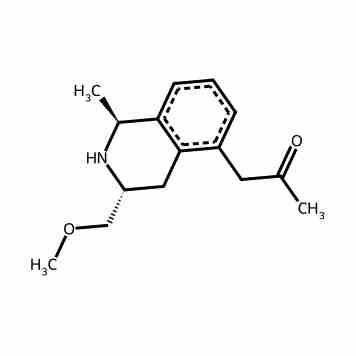 COC[C@H]1Cc2c(CC(C)=O)cccc2[C@H](C)N1